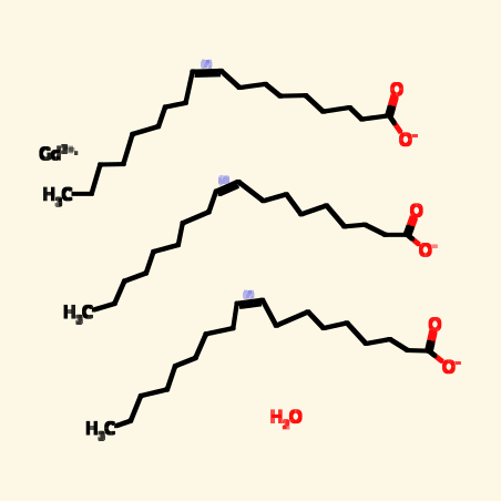 CCCCCCCC/C=C\CCCCCCCC(=O)[O-].CCCCCCCC/C=C\CCCCCCCC(=O)[O-].CCCCCCCC/C=C\CCCCCCCC(=O)[O-].O.[Gd+3]